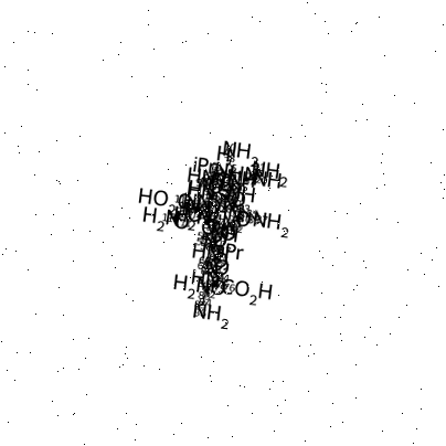 CC(C)[C@H](NC(=O)[C@H](CCCCN)NC(=O)[C@H](CCCNC(=N)N)NC(=O)[C@@H]1CCCN1C(=O)[C@H](CCCCN)NC(=O)[C@H](C)NC(=O)[C@H](CCC(N)=O)NC(=O)[C@@H]1CCCN1C(=O)[C@@H](NC(=O)[C@@H]1CCCN1C(=O)[C@H](CCC(=O)O)NC(=O)[C@@H](N)CCCCN)C(C)C)C(=O)N[C@@H](C)C(=O)N[C@@H](C)C(=O)N[C@@H](C)C(=O)N[C@@H](CCC(N)=O)C(=O)O